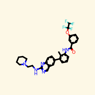 Cc1c(NC(=O)c2cccc(OC(F)(F)C(F)F)c2)cccc1-c1ccc2nc(NCCN3CCCCC3)ncc2c1